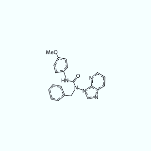 COc1ccc(NC(=O)N(Cc2ccccc2)n2cnc3cccnc32)cc1